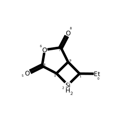 CCC1[SiH2]C2C(=O)OC(=O)C12